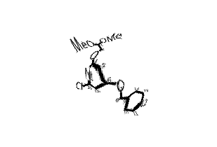 COC(COc1cc(OCc2ccccc2)cc(Cl)n1)OC